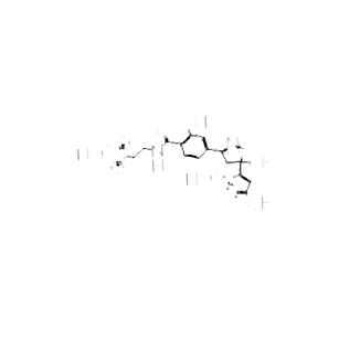 Cc1cc(C2=NOC(c3cc(C(F)(F)F)nn3C)(C(F)(F)F)C2)ccc1C(=O)NCCS(C)(=O)=O